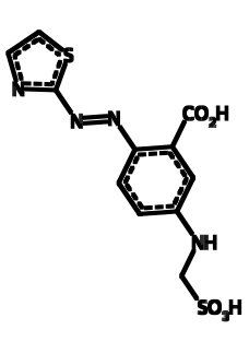 O=C(O)c1cc(NCS(=O)(=O)O)ccc1N=Nc1nccs1